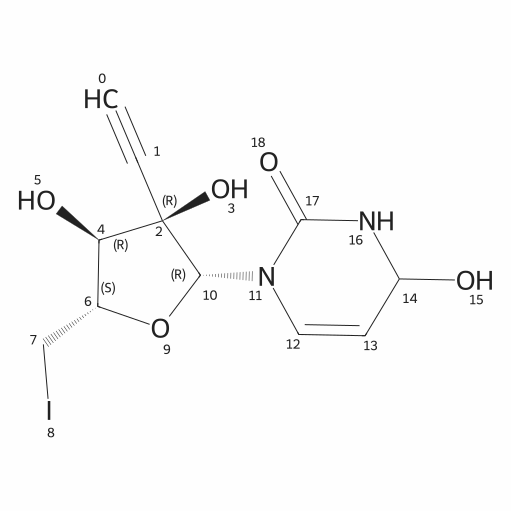 C#C[C@@]1(O)[C@H](O)[C@@H](CI)O[C@H]1N1C=CC(O)NC1=O